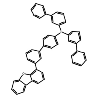 c1ccc(-c2cccc(N(c3ccc(-c4cccc(-c5cccc6c5oc5ccccc56)c4)cc3)c3cccc(-c4ccccc4)c3)c2)cc1